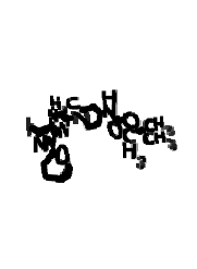 C[C@@H]1C[C@@H](NC(=O)OC(C)(C)C)CCN1c1cnc2c(I)nn(C3CCCCO3)c2n1